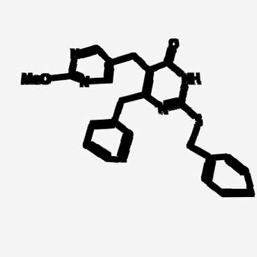 COc1ncc(Cc2c(Cc3ccccc3)nc(SCc3ccccc3)[nH]c2=O)cn1